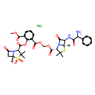 COC(=O)c1cccc(C(=O)OCOC(=O)[C@@H]2N3C(=O)[C@@H](NC(=O)C(N)c4ccccc4)[C@H]3SC2(C)C)c1OC(=O)[C@@H]1N2C(=O)C[C@H]2S(=O)(=O)C1(C)C.Cl